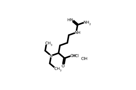 CCN(CC)C(CCCNC(=N)N)C(=O)O.Cl.Cl